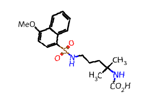 COc1ccc(S(=O)(=O)NCCCC(C)(C)NC(=O)O)c2ccccc12